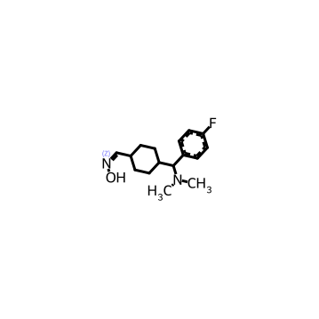 CN(C)C(c1ccc(F)cc1)C1CCC(/C=N\O)CC1